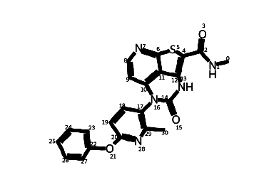 CNC(=O)c1sc2nccc3c2c1NC(=O)N3c1ccc(Oc2ccccc2)nc1C